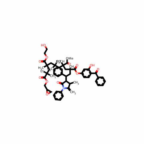 C=C1C(C)C(C(CC(C)(CC(C)(CC(C)(CC(C)(CC(C)(CC)C(=O)OCC2CO2)C(=O)OCCO)C(=O)O)C(=O)OC)C(=O)Oc2ccc(C(=O)c3ccccc3)c(O)c2)c2ccccc2)C(=O)N1c1ccccc1